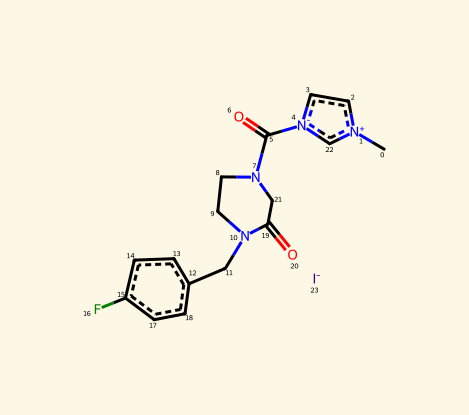 C[n+]1ccn(C(=O)N2CCN(Cc3ccc(F)cc3)C(=O)C2)c1.[I-]